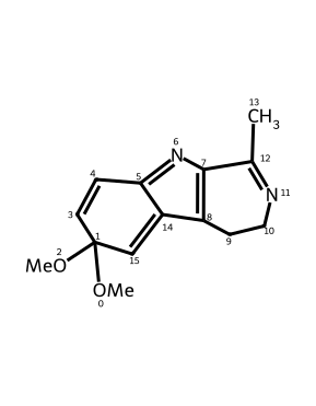 COC1(OC)C=CC2=NC3=C(CCN=C3C)C2=C1